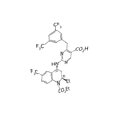 CCOC(=O)N1c2ccc(C(F)(F)F)cc2[C@@H](Nc2ncc(C(=O)O)c(Cc3cc(C(F)(F)F)cc(C(F)(F)F)c3)n2)C[C@H]1CC